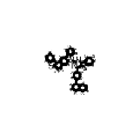 c1ccc2c(-c3ccc(-c4nc(-n5c6ccccc6c6cc7c(ccc8sc9ccccc9c87)cc65)nc5c4sc4ccccc45)cc3)cccc2c1